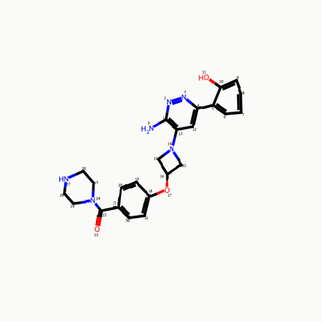 Nc1nnc(-c2ccccc2O)cc1N1CC(Oc2ccc(C(=O)N3CCNCC3)cc2)C1